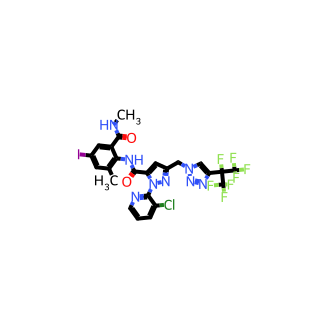 CNC(=O)c1cc(I)cc(C)c1NC(=O)c1cc(Cn2cc(C(F)(C(F)(F)F)C(F)(F)F)nn2)nn1-c1ncccc1Cl